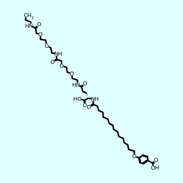 CCCNC(=O)COCCOCCNC(=O)COCCOCCNC(=O)CC[C@H](NC(=O)CCCCCCCCCCCCCCCOc1ccc(C(=O)O)cc1)C(=O)O